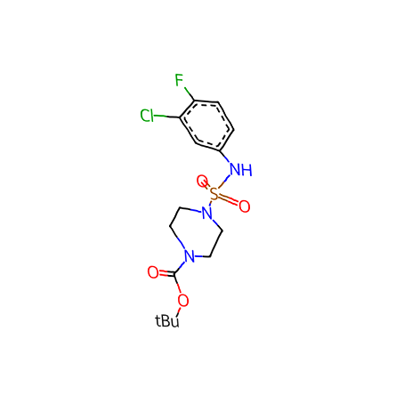 CC(C)(C)OC(=O)N1CCN(S(=O)(=O)Nc2ccc(F)c(Cl)c2)CC1